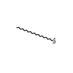 CCCCCCCCCCCCCCCCCCC[SiH](C)C